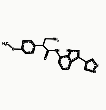 COc1ccc(C(CN)C(=O)Nc2cccc3c(-c4cn[nH]c4)c[nH]c23)cc1